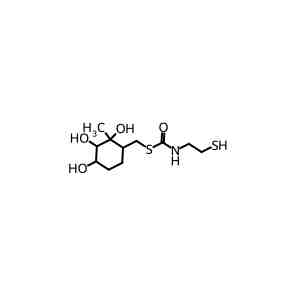 CC1(O)C(CSC(=O)NCCS)CCC(O)C1O